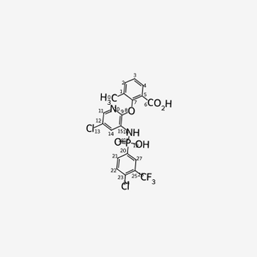 Cc1cccc(C(=O)O)c1Oc1ncc(Cl)cc1NP(=O)(O)c1ccc(Cl)c(C(F)(F)F)c1